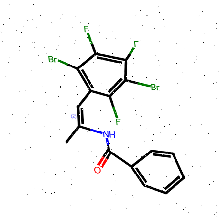 C/C(=C/c1c(F)c(Br)c(F)c(F)c1Br)NC(=O)c1ccccc1